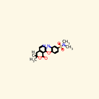 CN(C)S(=O)(=O)c1ccc(Oc2cccc3c2C(=O)OC(C)(C)C3)c(N)c1